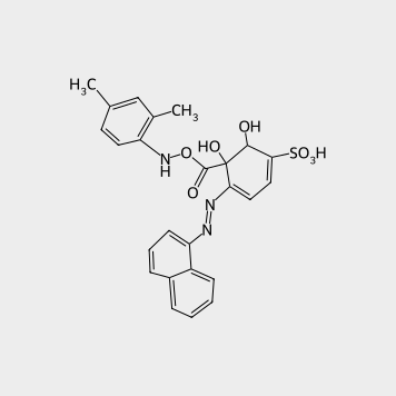 Cc1ccc(NOC(=O)C2(O)C(N=Nc3cccc4ccccc34)=CC=C(S(=O)(=O)O)C2O)c(C)c1